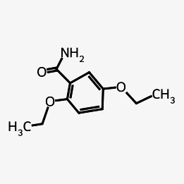 CCOc1ccc(OCC)c(C(N)=O)c1